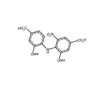 COc1cc(C(=O)O)ccc1Nc1c(OC)cc(C(=O)O)cc1[N+](=O)[O-]